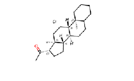 CC(=O)[C@H]1CC[C@H]2[C@@H]3CCC4CCCC[C@]4(C)[C@H]3CC[C@]12C.[C]